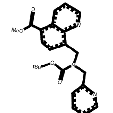 COC(=O)c1ccc(CN(Cc2ccccn2)C(=O)OC(C)(C)C)c2ncccc12